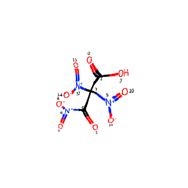 O=C(O)C(C(=O)[N+](=O)[O-])([N+](=O)[O-])[N+](=O)[O-]